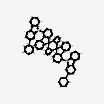 C1=CCC(c2ccc3c4ccccc4n(-c4cccc5c4-c4ccccc4C54c5ccccc5C5(c6ccccc6-c6c(-n7c8ccccc8c8ccc(-c9ccccc9)cc87)cccc65)c5ccccc54)c3c2)C=C1